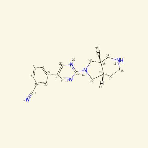 N#Cc1cccc(-c2cnc(N3C[C@H]4CCNC[C@H]4C3)nc2)c1